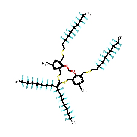 Cc1cc(CSCCC(F)(F)C(F)(F)C(F)(F)C(F)(F)C(F)(F)C(F)(F)C(F)(F)C(F)(F)F)c(OCOc2c(CSCCC(F)(F)C(F)(F)C(F)(F)C(F)(F)C(F)(F)C(F)(F)C(F)(F)C(F)(F)F)cc(C)cc2CSCCC(F)(F)C(F)(F)C(F)(F)C(F)(F)C(F)(F)C(F)(F)C(F)(F)C(F)(F)F)c(CSCCC(F)(F)C(F)(F)C(F)(F)C(F)(F)C(F)(F)C(F)(F)C(F)(F)C(F)(F)F)c1